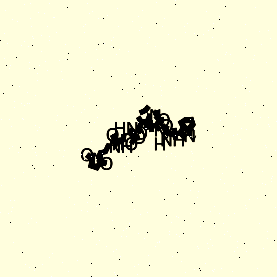 CN[C@H](C(=O)NC(C(=O)N(C)[C@H](/C=C(\C)C(=O)N[C@H](CCC(=O)NCCCN1C(=O)C=CC1=O)C(=O)O)C(C)C)C(C)(C)C)C(C)(C)c1cn(C)c2ccccc12